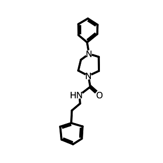 O=C(NCCc1ccccc1)N1CCN(c2ccccc2)CC1